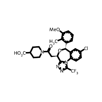 COc1cccc([C@H]2O[C@H](CC(=O)N3CCC(C(=O)O)CC3)c3nnc(C(F)(F)F)n3-c3ccc(Cl)cc32)c1C